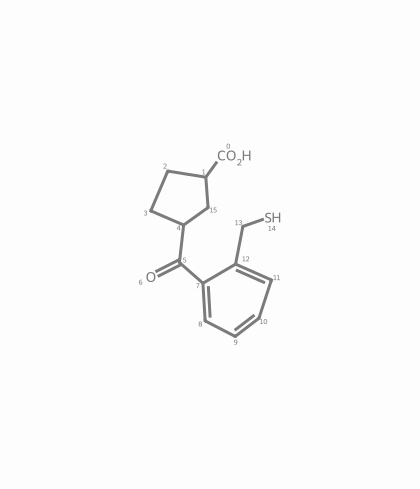 O=C(O)C1CCC(C(=O)c2ccccc2CS)C1